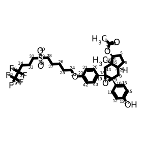 CC(=O)O[C@H]1CC[C@H]2C[C@]3(c4ccc(O)cc4)O[C@]3(c3ccc(OCCCCCS(=O)(=O)CCCC(F)(F)C(F)(F)F)cc3)C[C@@]21C